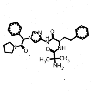 CC(C)(N)C(=O)N[C@H](CCc1ccccc1)C(=O)Nc1cn(C(C(=O)N2CCCC2)c2ccccc2)cn1